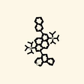 CC(C)[Si](c1cc(-c2ccc3ccccc3c2)c2ccc3c([Si](C(C)C)(C(C)C)C(C)C)cc(-c4cc5ccccc5c5ccccc45)c4ccc1c2c43)(C(C)C)C(C)C